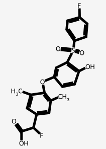 Cc1cc(C(F)C(=O)O)cc(C)c1Oc1ccc(O)c(S(=O)(=O)c2ccc(F)cc2)c1